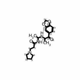 CC(NC(=O)CCN1CCCC1)NC(C)C(=O)c1ccc2c(c1)OCO2